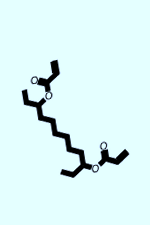 C=CC(=O)OC(CC)CCCCCCC(CC)OC(=O)C=C